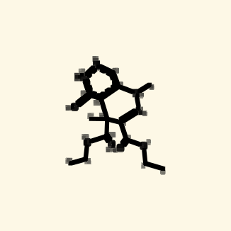 CCOC(=O)C1=NN(C)c2cn[nH]c(=O)c2C1(C)C(=O)OCC